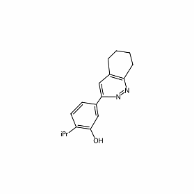 CC(C)c1ccc(-c2cc3c(nn2)CCCC3)cc1O